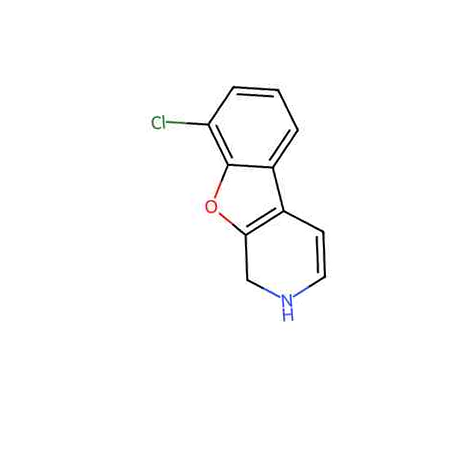 Clc1cccc2c3c(oc12)CNC=C3